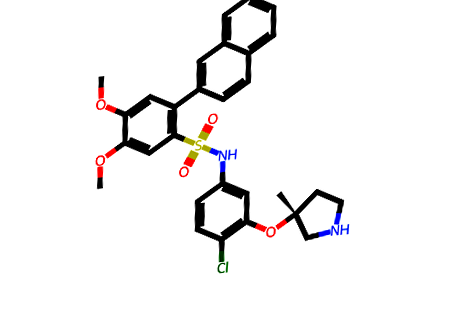 COc1cc(-c2ccc3ccccc3c2)c(S(=O)(=O)Nc2ccc(Cl)c(O[C@]3(C)CCNC3)c2)cc1OC